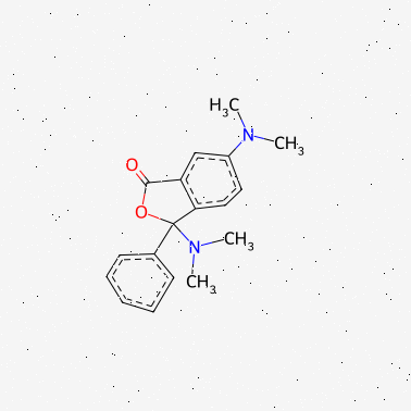 CN(C)c1ccc2c(c1)C(=O)OC2(c1ccccc1)N(C)C